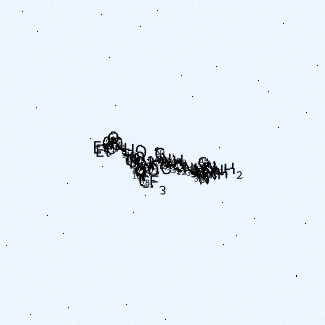 CCOP(=O)(OCC)OCCCCOC(=O)c1ccc(C(F)(F)F)cc1NC(=O)CC[C@H](NC(=O)c1ccc(NCc2cnc3[nH]c(N)nc(=O)c3n2)cc1)C(=O)O